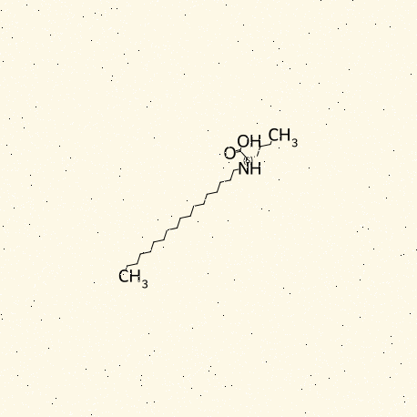 CCCCCCCCCCCCCCCCCCN[C@@H](CCCC)C(=O)O